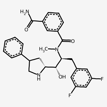 CN(C(=O)c1cccc(C(N)=O)c1)[C@@H](Cc1cc(F)cc(F)c1)[C@H](O)[C@H]1CC(c2ccccc2)CN1